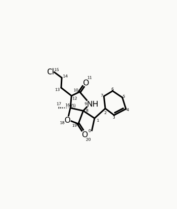 CC(C1C=CCCC1)C12NC(=O)C(CCCl)[C@]1(C)OC2=O